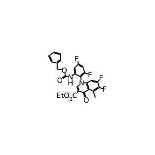 CCOC(=O)c1cn(-c2c(F)cc(F)cc2NC(=O)OCc2ccccc2)c2cc(F)c(F)c(C)c2c1=O